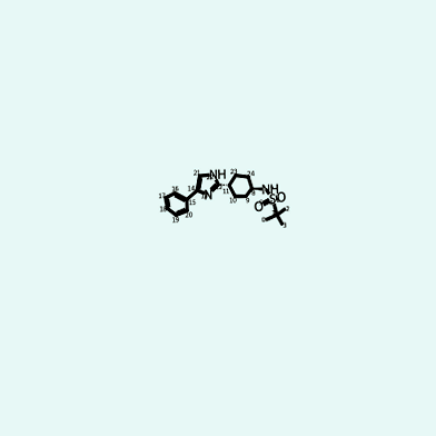 CC(C)(C)S(=O)(=O)N[C@H]1CC[C@H](c2nc(-c3ccccc3)c[nH]2)CC1